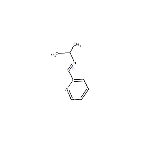 CC(C)/N=C/c1ccccn1